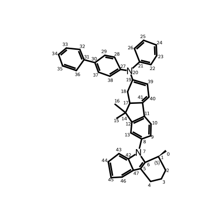 C[C@H]1CCCc2c1n(-c1ccc3c(c1)C(C)(C)C1CC(N(c4ccccc4)c4ccc(-c5ccccc5)cc4)=CC=C31)c1ccccc21